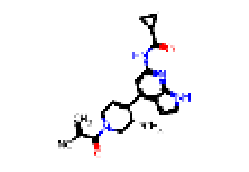 C=C(C#N)C(=O)N1CC=C(c2cc(NC(=O)C3CC3)nc3[nH]ccc23)[C@H](C)C1